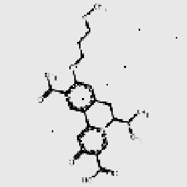 COCCCOc1cc2c(cc1C(C)=O)-c1cc(=O)c(C(=O)O)cn1C(C(C)C)C2